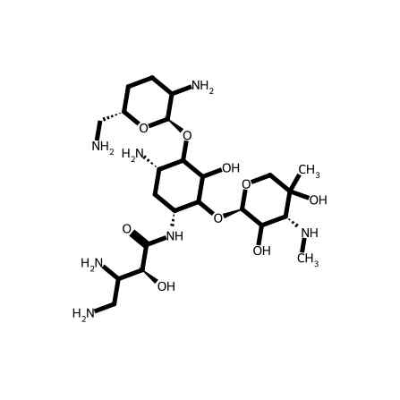 CN[C@@H]1C(O)[C@@H](OC2C(O)C(O[C@H]3O[C@H](CN)CCC3N)[C@@H](N)C[C@H]2NC(=O)[C@@H](O)C(N)CN)OCC1(C)O